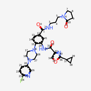 O=C(NCCCN1CCCC1=O)c1ccc(N2CCN(c3ccc(F)nc3)CC2)c(NC(=O)c2coc(C3CC3)n2)c1